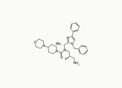 CC(C)(C)[C@H](c1nc(-c2ccccc2)cn1Cc1ccccc1)N(C[C@H](F)CN)C(=O)N1CCC(N2CCOCC2)CC1